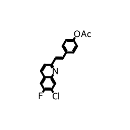 CC(=O)Oc1ccc(C=Cc2ccc3cc(F)c(Cl)cc3n2)cc1